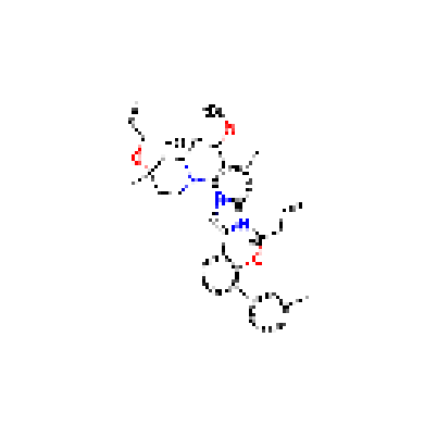 C=CCOC1(C)CCN(c2c(C(OC(C)(C)C)C(=O)O)c(C)cc3nc(-c4cccc(-c5cccc(C)c5)c4O[C@@H](C)CC=C)cn23)CC1